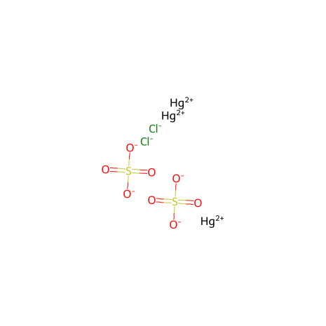 O=S(=O)([O-])[O-].O=S(=O)([O-])[O-].[Cl-].[Cl-].[Hg+2].[Hg+2].[Hg+2]